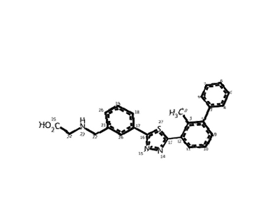 Cc1c(-c2ccccc2)cccc1-c1nnc(-c2cccc(CNCC(=O)O)c2)s1